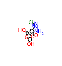 Nc1c(-c2ncnc(Cl)n2)ccc2c1C(=O)OC21c2ccc(O)cc2Oc2cc(O)ccc21